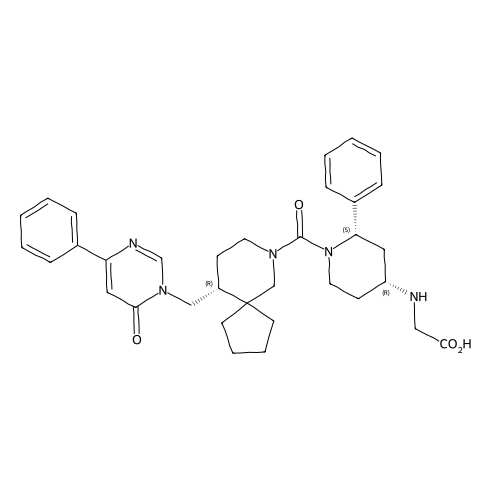 O=C(O)CN[C@@H]1CCN(C(=O)N2CC[C@@H](Cn3cnc(-c4ccccc4)cc3=O)C3(CCCC3)C2)[C@H](c2ccccc2)C1